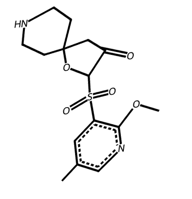 COc1ncc(C)cc1S(=O)(=O)C1OC2(CCNCC2)CC1=O